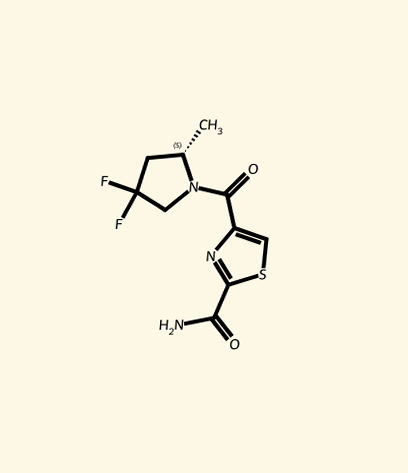 C[C@H]1CC(F)(F)CN1C(=O)c1csc(C(N)=O)n1